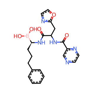 O=C(NC(Cc1ncco1)C(=O)N[C@@H](CCCc1ccccc1)B(O)O)c1cnccn1